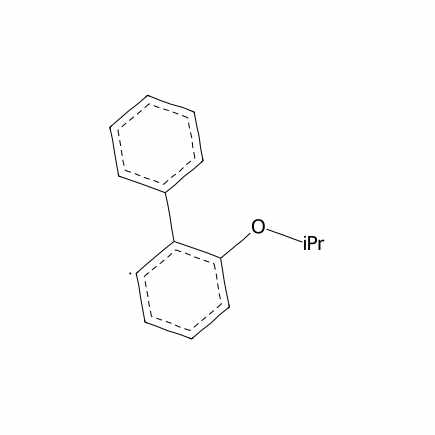 CC(C)Oc1ccc[c]c1-c1ccccc1